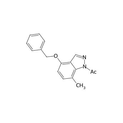 CC(=O)n1ncc2c(OCc3ccccc3)ccc(C)c21